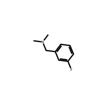 [CH2]N(C)Cc1cccc(F)c1